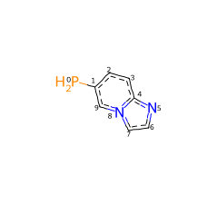 Pc1ccc2nccn2c1